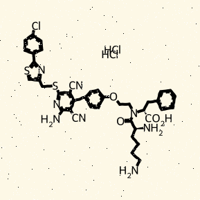 Cl.Cl.N#Cc1c(N)nc(SCc2csc(-c3ccc(Cl)cc3)n2)c(C#N)c1-c1ccc(OCCN(C(=O)[C@@H](N)CCCCN)[C@H](Cc2ccccc2)C(=O)O)cc1